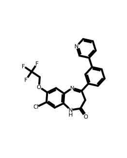 O=C1CC(c2cccc(-c3cccnc3)c2)=Nc2cc(OCC(F)(F)F)c(Cl)cc2N1